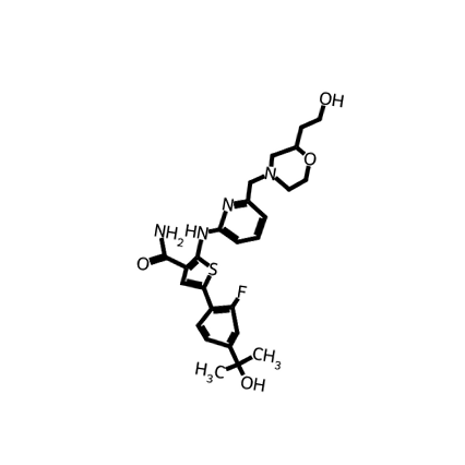 CC(C)(O)c1ccc(-c2cc(C(N)=O)c(Nc3cccc(CN4CCOC(CCO)C4)n3)s2)c(F)c1